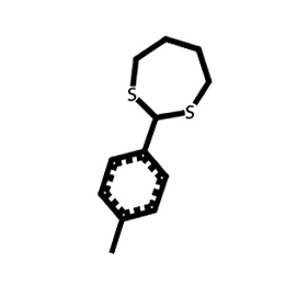 Cc1ccc(C2SCCCCS2)cc1